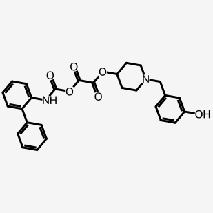 O=C(Nc1ccccc1-c1ccccc1)OC(=O)C(=O)OC1CCN(Cc2cccc(O)c2)CC1